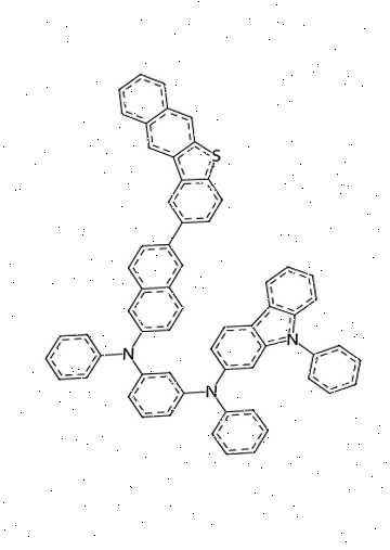 c1ccc(N(c2cccc(N(c3ccccc3)c3ccc4c5ccccc5n(-c5ccccc5)c4c3)c2)c2ccc3cc(-c4ccc5sc6cc7ccccc7cc6c5c4)ccc3c2)cc1